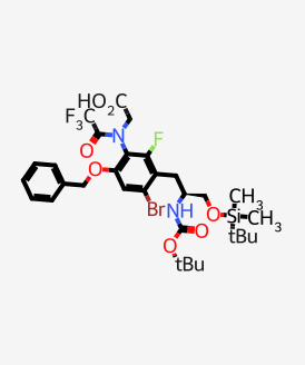 CC(C)(C)OC(=O)N[C@H](CO[Si](C)(C)C(C)(C)C)Cc1c(Br)cc(OCc2ccccc2)c(N(CC(=O)O)C(=O)C(F)(F)F)c1F